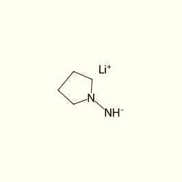 [Li+].[NH-]N1CCCC1